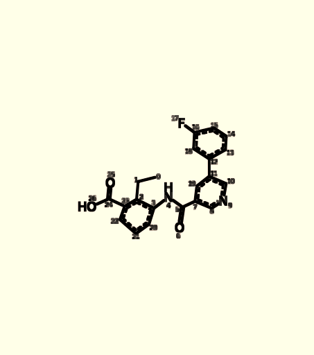 CCc1c(NC(=O)c2cncc(-c3cccc(F)c3)c2)cccc1C(=O)O